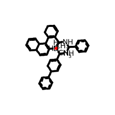 C[SiH](C)C1=C(C2=C(C3NC(C4=CCC(c5ccccc5)C=C4)NC(c4ccccc4)N3)C=CCC2)C2C=CC=CC2C=C1